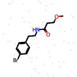 COCCC(=O)NCCc1ccc(Br)cc1